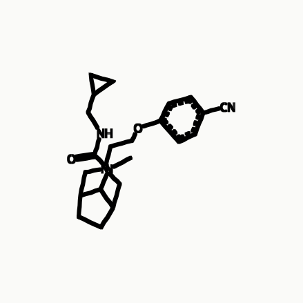 CN(C(=O)NCC1CC1)C1C2CCC1CN(CCOc1ccc(C#N)cc1)C2